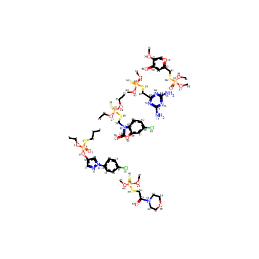 CCCSP(=O)(OCC)Oc1cnn(-c2ccc(Cl)cc2)c1.CCOP(=S)(OCC)SCn1c(=O)oc2cc(Cl)ccc21.COP(=S)(OC)SCC(=O)N1CCOCC1.COP(=S)(OC)SCc1nc(N)nc(N)n1.COc1coc(CSP(=O)(OC)OC)cc1=O